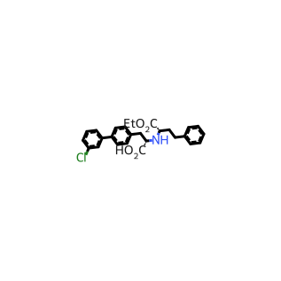 CCOC(=O)[C@H](CCc1ccccc1)N[C@@H](Cc1ccc(-c2cccc(Cl)c2)cc1)C(=O)O